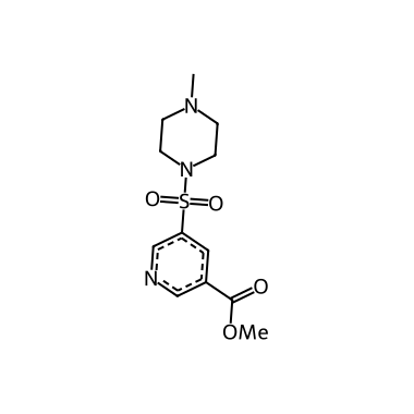 COC(=O)c1cncc(S(=O)(=O)N2CCN(C)CC2)c1